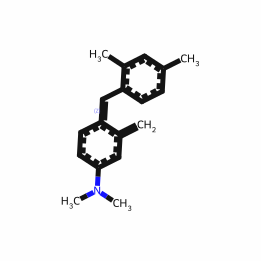 C=c1cc(N(C)C)cc/c1=C/c1ccc(C)cc1C